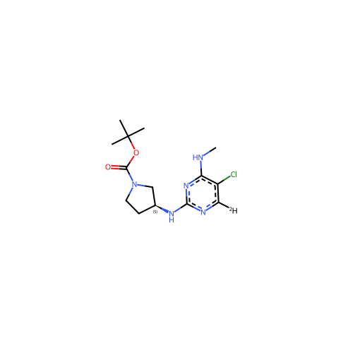 [2H]c1nc(N[C@H]2CCN(C(=O)OC(C)(C)C)C2)nc(NC)c1Cl